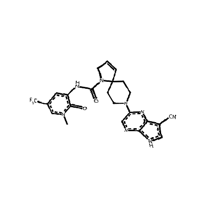 Cn1cc(C(F)(F)F)cc(NC(=O)N2CC=CC23CCN(c2cnc4[nH]cc(C#N)c4n2)CC3)c1=O